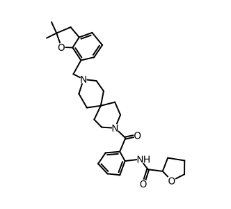 CC1(C)Cc2cccc(CN3CCC4(CC3)CCN(C(=O)c3ccccc3NC(=O)C3CCCO3)CC4)c2O1